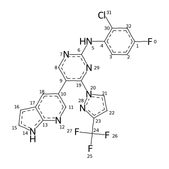 Fc1ccc(Nc2ncc(-c3cnc4[nH]ccc4c3)c(-n3ccc(C(F)(F)F)n3)n2)c(Cl)c1